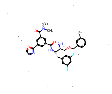 CCCCN(C)C(=O)c1cc(C(=O)N[C@@H](Cc2cc(F)cc(F)c2)C(N)COCc2cccc(CC)c2)cc(-c2ncco2)c1